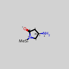 CSN1C[C@H](N)CC1=O